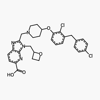 O=C(O)c1ccc2nc(CN3CCC(Oc4cccc(Cc5ccc(Cl)cc5)c4Cl)CC3)n(CC3CCO3)c2n1